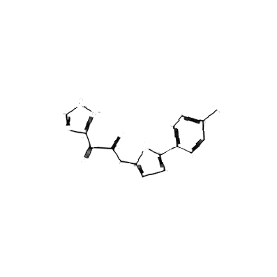 Cc1ccc(-c2ccc(CC(=O)C(=O)c3nc[nH]n3)o2)cc1